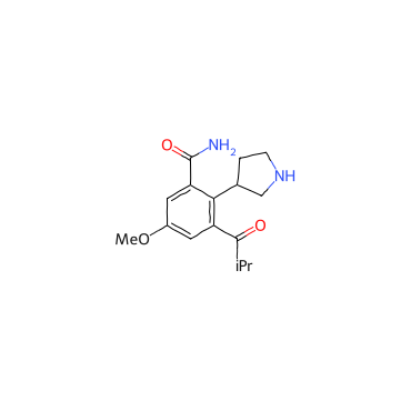 COc1cc(C(N)=O)c(C2CCNC2)c(C(=O)C(C)C)c1